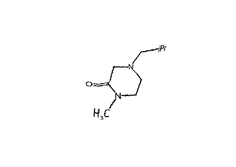 CC(C)CN1CCN(C)C(=O)C1